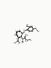 CCc1ccc(OCc2cccc(C(F)F)c2N(O)C(=S)OC)c(C)c1